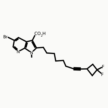 Cn1c(CCCCCCC#CC2CC(F)(F)C2)c(C(=O)O)c2cc(Br)cnc21